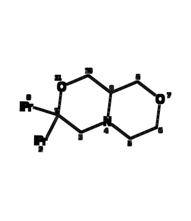 CC(C)C1(C(C)C)CN2CCOCC2CO1